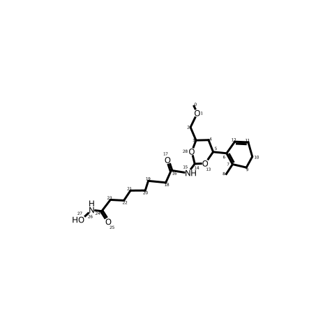 COCC1CC(C2=C(C)CCC=C2)OC(NC(=O)CCCCCCC(=O)NO)O1